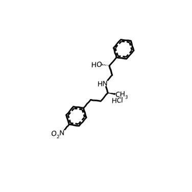 C[C@@H](CCc1ccc([N+](=O)[O-])cc1)NC[C@H](O)c1ccccc1.Cl